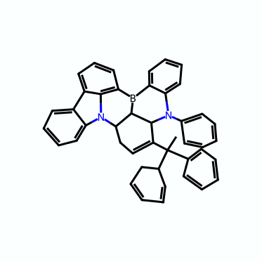 CC(C1=CCC2C3B(c4ccccc4N(c4ccccc4)C13)c1cccc3c4ccccc4n2c13)(c1ccccc1)C1C=CC=CC1